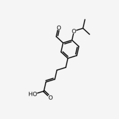 CC(C)Oc1ccc(CC/C=C/C(=O)O)cc1C=O